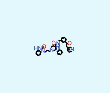 O=C(CC1CN2CCC1CC2)c1cccc(CN2CN(c3ccccc3)C3(CCN(CCCn4c(=O)[nH]c5ccccc54)CC3)C2=O)c1